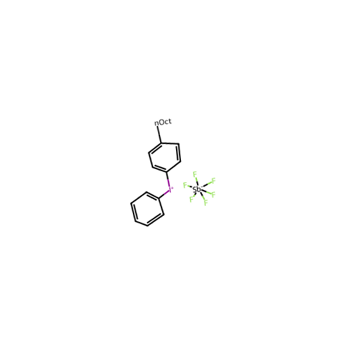 CCCCCCCCc1ccc([I+]c2ccccc2)cc1.[F][Sb-]([F])([F])([F])([F])[F]